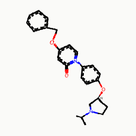 CC(C)N1CC[C@H](Oc2ccc(-n3ccc(OCc4ccccc4)cc3=O)cc2)C1